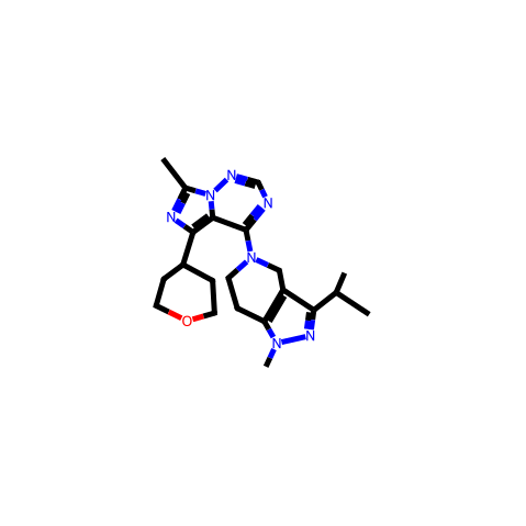 Cc1nc(C2CCOCC2)c2c(N3CCc4c(c(C(C)C)nn4C)C3)ncnn12